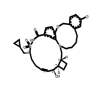 O=C1NS(=O)(=O)[C@H](CC2CC2)CC/C=C\[C@H](O)[C@@H]2CC[C@H]2CN2CCCCc3cc(Cl)ccc3COc3ccc1cc32